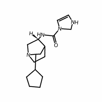 O=C(N[C@H]1CN2CCC1CC2C1CCCC1)N1C=CNC1